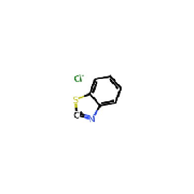 [C+]1=Nc2ccccc2S1.[Cl-]